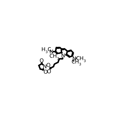 CN(C)c1ccc2cc3ccc(N(C)C)cc3[n+](CCCCCC(=O)ON3C(=O)CCC3=O)c2c1